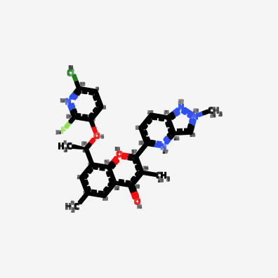 Cc1cc([C@@H](C)Oc2ccc(Cl)nc2F)c2oc(-c3ccc4nn(C)cc4n3)c(C)c(=O)c2c1